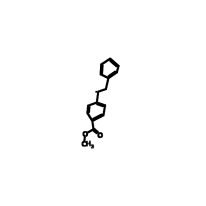 COC(=O)c1ccc([CH]Cc2ccccc2)cc1